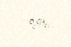 CCN/C(=N\C#N)c1cnc2ccc(N3C[C@@H](F)C[C@@H]3c3cc(F)cc(SC)c3)nn12